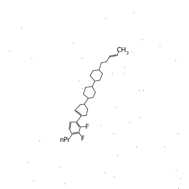 C/C=C/CCC1CCC(C2CCC(C3CC=C(c4ccc(CCC)c(F)c4F)CC3)CC2)CC1